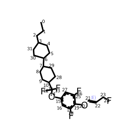 CCCC1CCC(C2CCC(C(F)(F)Oc3cc(F)c(O/C=C/CF)c(F)c3)CC2)CC1